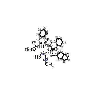 C/C=N/C(=C\S)CN(Cc1ccc2occc2c1)C(=O)[C@H](Cc1ccccc1)NC(=O)[C@H](Cc1cccnc1)NC(=O)OC(C)(C)C